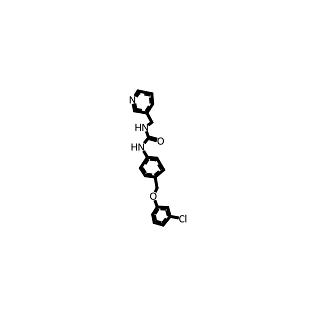 O=C(NCc1cccnc1)Nc1ccc(COc2cccc(Cl)c2)cc1